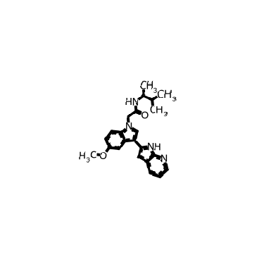 COc1ccc2c(c1)c(-c1cc3cccnc3[nH]1)cn2CC(=O)NC(C)C(C)C